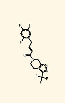 O=C(/C=C/Cc1cc(F)c(F)cc1F)N1CCn2c(nnc2C(F)(F)F)C1